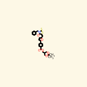 CC1(C)OCC(COC(=O)c2ccc(-c3ccc(/C=C4/SC(=S)N(Cc5ccccc5)C4=O)o3)cc2)CO1